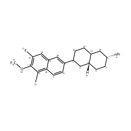 CCC[C@@H]1CC[C@@H]2CC(c3ccc4c(F)c(OC(F)(F)F)c(F)cc4c3)CCC2C1